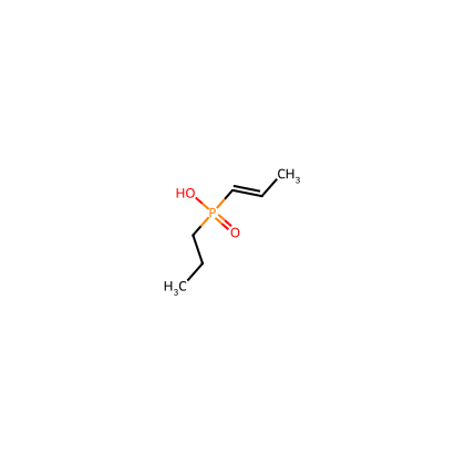 CC=CP(=O)(O)CCC